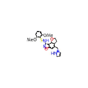 COc1cccc(OC)c1SNc1noc2cc(CN3C=CCN3)c3c(c12)OCC3